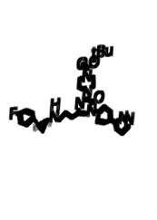 CC(C)(C)OC(=O)N1CCN(c2nc(CCCN[C@@H]3C[C@H]3c3ccc(F)cc3)cn(-c3ccc(-c4cccnn4)cc3)c2=O)CC1